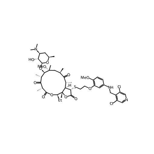 CC[C@H]1OC(=O)[C@H](C)C(=O)[C@H](C)[C@@H](O[C@@H]2O[C@H](C)C[C@H](N(C)C)[C@H]2O)[C@](C)(OC)C[C@@H](C)C(=O)[C@H](C)[C@H]2[C@H](SCCOc3cc(NCc4c(Cl)cncc4Cl)ccc3OC)C(=O)O[C@@]21C